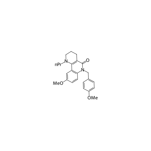 CCCN1CCCc2c1c1cc(OC)ccc1n(Cc1ccc(OC)cc1)c2=O